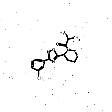 Cc1cccc(-c2noc(C3CCCCN3C(=O)C(C)C)n2)c1